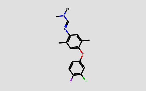 CCN(C)/C=N/c1cc(C)c(Oc2ccc(I)c(Cl)c2)cc1C